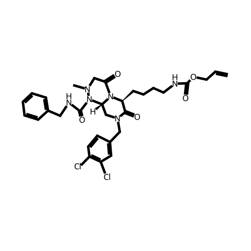 C=CCOC(=O)NCCCC[C@H]1C(=O)N(Cc2ccc(Cl)c(Cl)c2)C[C@H]2N1C(=O)CN(C)N2C(=O)NCc1ccccc1